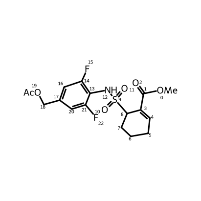 COC(=O)C1=CCCCC1S(=O)(=O)Nc1c(F)cc(COC(C)=O)cc1F